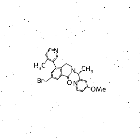 COc1ccnc([C@H](C)N2CCc3c(cc(CBr)cc3-c3cnccc3C)C2=O)c1